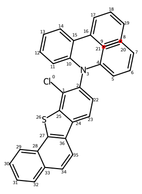 Clc1c(N(c2ccccc2)c2ccccc2-c2ccccc2)ccc2c1sc1c3ccccc3ccc21